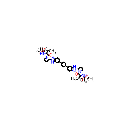 COC(=O)NC(C(=O)N1CCCC1c1nc2cc(-c3ccc(-c4ccc5[nH]c([C@@H]6CCCN6C(=O)C(NC(=O)OC)C(C)C)nc5c4)cc3)ccc2[nH]1)C(C)C